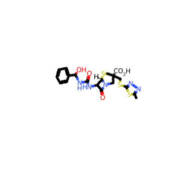 Cc1nnc(SCC2(C(=O)O)CS[C@@H]3C(NC(=O)NC(O)c4ccccc4)C(=O)N3C2)s1